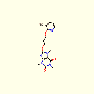 Cn1c(=O)c2c(nc(OCCCOc3ncccc3C#N)n2C)n(C)c1=O